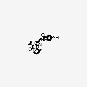 CC1CCCN(C(=O)[C@H](C(C)C)n2cc(CNC(=O)c3ccc(S)cc3)nn2)C1